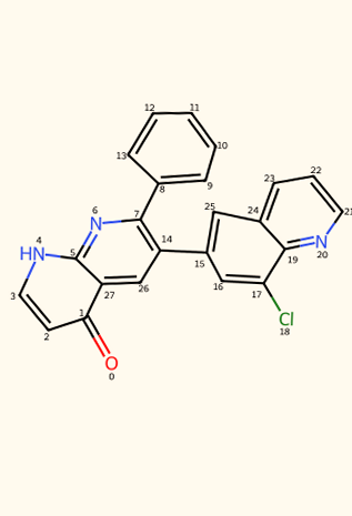 O=c1cc[nH]c2nc(-c3ccccc3)c(-c3cc(Cl)c4ncccc4c3)cc12